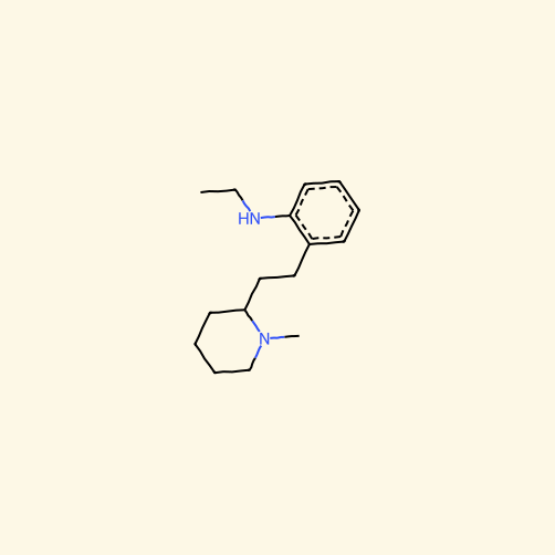 CCNc1ccccc1CCC1CCCCN1C